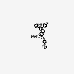 COc1cc2c(cc1OCc1ccc(-n3cccn3)cc1)CCN1C2Cc2c([nH]c3ccccc23)C1c1ccc(F)cc1